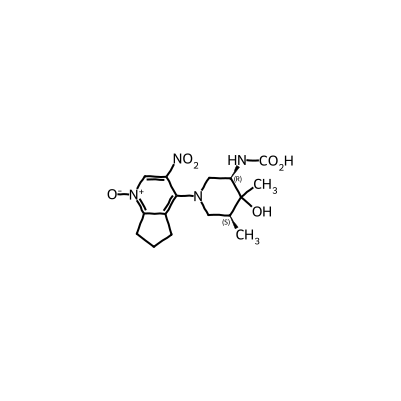 C[C@H]1CN(c2c([N+](=O)[O-])c[n+]([O-])c3c2CCC3)C[C@@H](NC(=O)O)C1(C)O